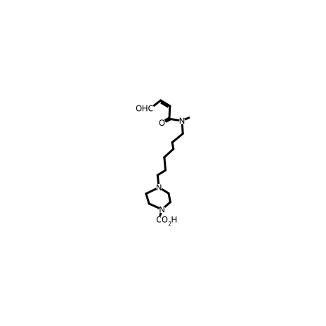 CN(CCCCCCN1CCN(C(=O)O)CC1)C(=O)/C=C\C=O